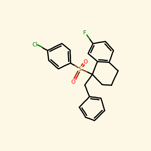 O=S(=O)(c1ccc(Cl)cc1)C1(Cc2ccccc2)CCCc2ccc(F)cc21